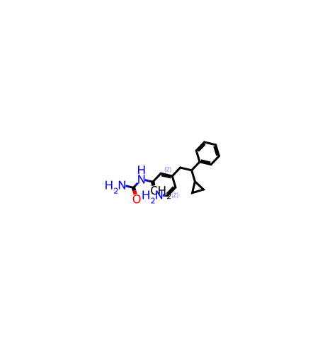 C=C(/C=C(\C=C/N)CC(c1ccccc1)C1CC1)NC(N)=O